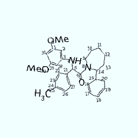 COc1cc(NC(C(=O)N2CCCCCC2C2C=CC=CC2)c2ccc(C)cc2)cc(OC)c1